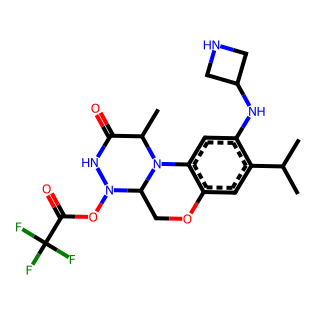 CC(C)c1cc2c(cc1NC1CNC1)N1C(C)C(=O)NN(OC(=O)C(F)(F)F)C1CO2